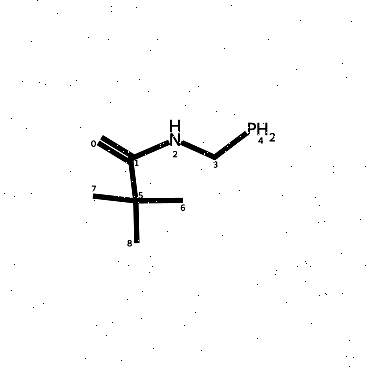 C=C(NCP)C(C)(C)C